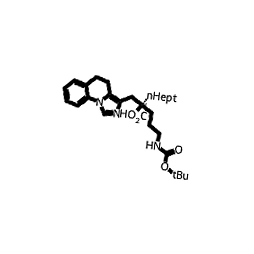 CCCCCCC[C@@](CCCNC(=O)OC(C)(C)C)(Cc1ncn2c1CCc1ccccc1-2)C(=O)O